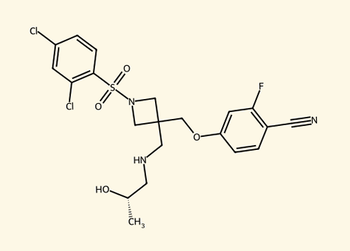 C[C@H](O)CNCC1(COc2ccc(C#N)c(F)c2)CN(S(=O)(=O)c2ccc(Cl)cc2Cl)C1